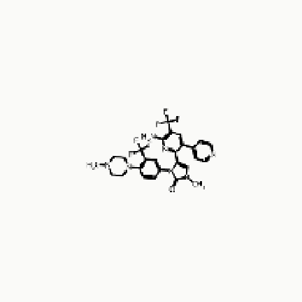 CN1CCN(c2ccc(-n3c(-c4nc(N)c(C(F)(F)F)cc4-c4ccncc4)cn(C)c3=O)cc2C(F)(F)F)CC1